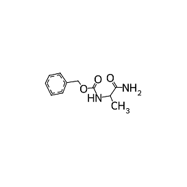 CC(NC(=O)OCc1ccccc1)C(N)=O